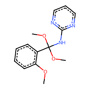 COc1ccccc1C(Nc1ncccn1)(OC)OC